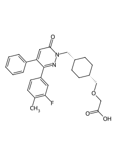 Cc1ccc(-c2nn(C[C@H]3CC[C@@H](COCC(=O)O)CC3)c(=O)cc2-c2ccccc2)cc1F